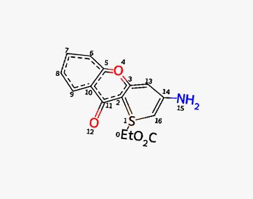 CCOC(=O)S1=c2c(oc3ccccc3c2=O)=CC(N)=C1